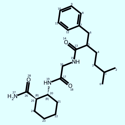 CC(C)CCC(Cc1ccccc1)C(=O)NCC(=O)N[C@@H]1CCCC[C@H]1C(N)=O